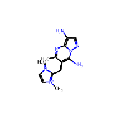 Cc1nc2c(N)cnn2c(N)c1Cc1n(C)cc[n+]1C